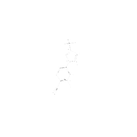 N#Cc1ccc(-n2cc(C(F)(F)F)cn2)cc1Cl